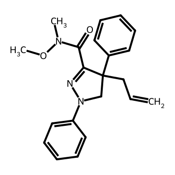 C=CCC1(c2ccccc2)CN(c2ccccc2)N=C1C(=O)N(C)OC